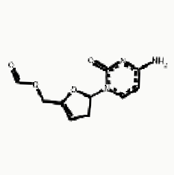 Nc1ccn([C@H]2CC=C(COC=O)O2)c(=O)n1